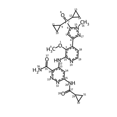 COc1c(-c2cc(P(=O)(C3CC3)C3CC3)n(C)n2)ccnc1Nc1cc(NC(=O)C2CC2)nnc1C(N)=O